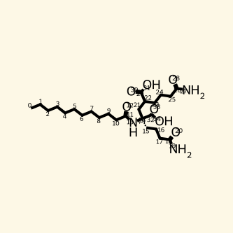 CCCCCCCCCCCC(=O)N[C@@](CCCC(N)=O)(CC(CCCC(N)=O)C(=O)O)C(=O)O